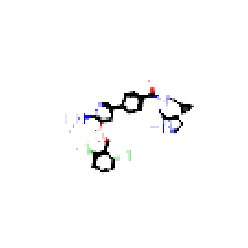 Nc1ncc(-c2ccc(C(=O)N(CC3CC3)CC3CCCN3)cc2)cc1OCc1c(Cl)cccc1Cl